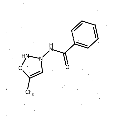 O=C(NN1C=C(C(F)(F)F)ON1)c1ccccc1